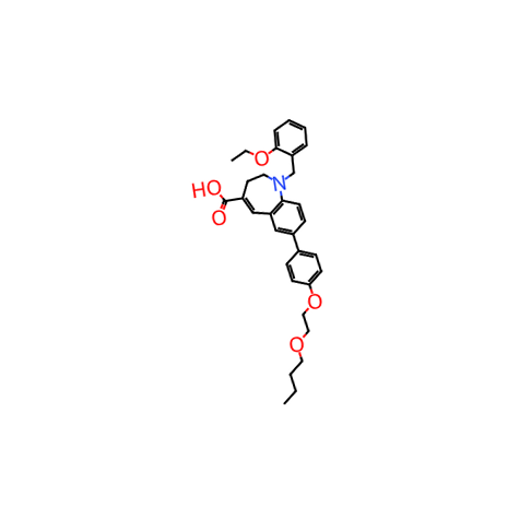 CCCCOCCOc1ccc(-c2ccc3c(c2)C=C(C(=O)O)CCN3Cc2ccccc2OCC)cc1